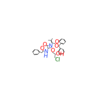 CC(C)=C(C(=O)OC(c1ccccc1)c1ccccc1)N1C(=O)[C@H](NC(=O)Cc2ccccc2)[C@H]1OCC(O)CCl